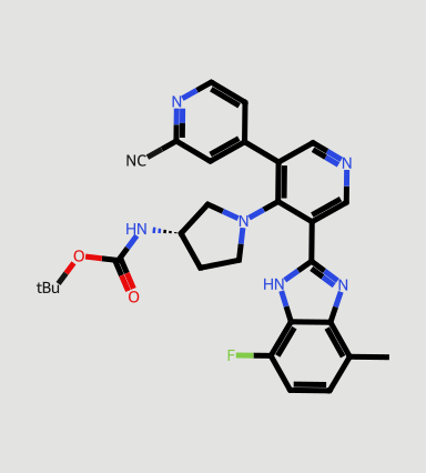 Cc1ccc(F)c2[nH]c(-c3cncc(-c4ccnc(C#N)c4)c3N3CC[C@H](NC(=O)OC(C)(C)C)C3)nc12